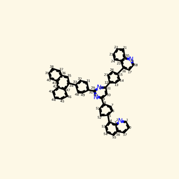 c1cnc2c(-c3ccc(-c4cc(-c5ccc(-c6ccnc7ccccc67)cc5)nc(-c5ccc(-c6cc7ccccc7c7ccccc67)cc5)n4)cc3)cccc2c1